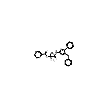 CC(C)(NC(=O)c1cnccn1)C(=O)Nc1nc(-c2ccccc2)c(Cc2ccccc2)s1